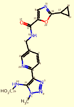 Cn1nnc(-c2ccc(CNC(=O)c3cnc(C4CC4)o3)cn2)c1NC(=O)O